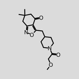 COCC(=O)N1CCC(Cc2onc3c2C(=O)CC(C)(C)C3)CC1